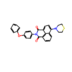 O=C1c2cccc3c(N4CCSCC4)ccc(c23)C(=O)N1c1ccc(Oc2ccccc2)cc1